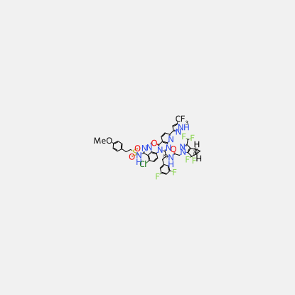 COc1ccc(CCS(=O)(=O)Nc2nn(C)c3c(-n4c([C@H](Cc5cc(F)cc(F)c5)NC(=O)Cn5nc(C(F)F)c6c5C(F)(F)[C@@H]5C[C@H]65)nc5nc(-c6cc(C(F)(F)F)[nH]n6)ccc5c4=O)ccc(Cl)c23)cc1